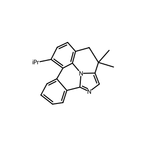 CC(C)c1ccc2c3c1c1ccccc1c1ncc(n13)C(C)(C)C2